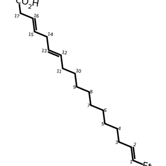 CCC=CCCCCCCCCCC=CCC=CCC(=O)O